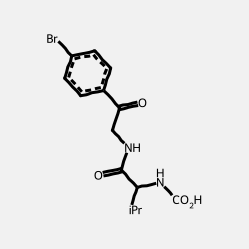 CC(C)C(NC(=O)O)C(=O)NCC(=O)c1ccc(Br)cc1